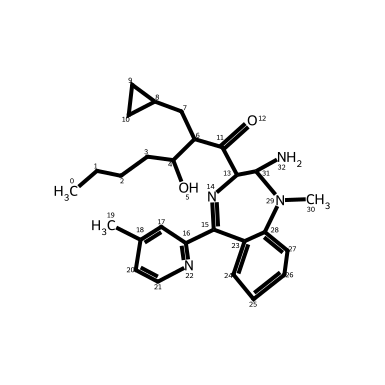 CCCCC(O)C(CC1CC1)C(=O)C1N=C(c2cc(C)ccn2)c2ccccc2N(C)C1N